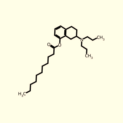 CCCCCCCCCCC(=O)Oc1cccc2c1CC(N(CCC)CCC)CC2